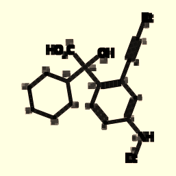 CCC#Cc1cc(NCC)ccc1C(O)(C(=O)O)C1CCCCC1